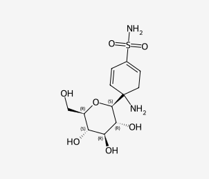 NC1([C@@H]2O[C@H](CO)[C@@H](O)[C@H](O)[C@H]2O)C=CC(S(N)(=O)=O)=CC1